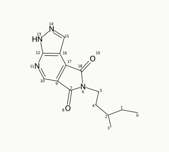 CCC(C)CCN1C(=O)c2cnc3[nH]ncc3c2C1=O